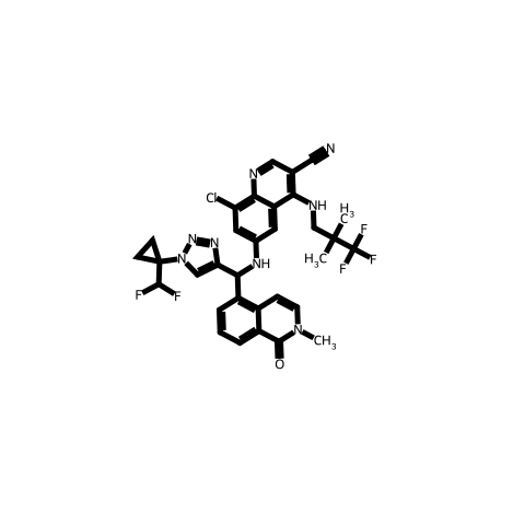 Cn1ccc2c(C(Nc3cc(Cl)c4ncc(C#N)c(NCC(C)(C)C(F)(F)F)c4c3)c3cn(C4(C(F)F)CC4)nn3)cccc2c1=O